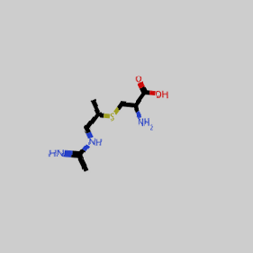 CC(=N)NCC(C)SCC(N)C(=O)O